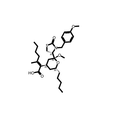 CCCCC[C@@H]1C[C@@H](C(C(=O)O)=C(C)CCCC)C[C@](OC)([C@@H]2CSC(=O)N2Cc2ccc(OC)cc2)O1